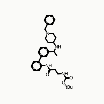 CC(NC1CCN(Cc2ccccc2)CC1)c1cccc(-c2ccccc2NC(=O)CCNC(=O)OC(C)(C)C)c1